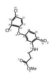 COC(=O)CCNc1cc(Oc2ccc(Cl)cc2Cl)ccc1[N+](=O)[O-]